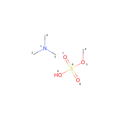 CN(C)C.COS(=O)(=O)O